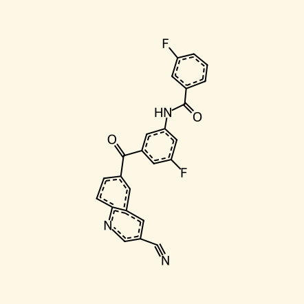 N#Cc1cnc2ccc(C(=O)c3cc(F)cc(NC(=O)c4cccc(F)c4)c3)cc2c1